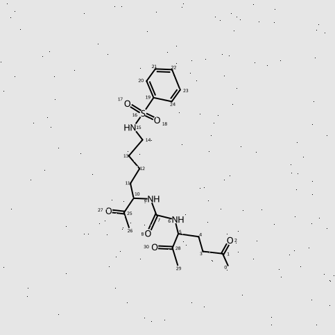 CC(=O)CCC(NC(=O)NC(CCCCNS(=O)(=O)c1ccccc1)C(C)=O)C(C)=O